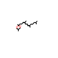 CC(=CCCC1(C)OCC(C)CO1)CCC=C(C)CCCC(C)C